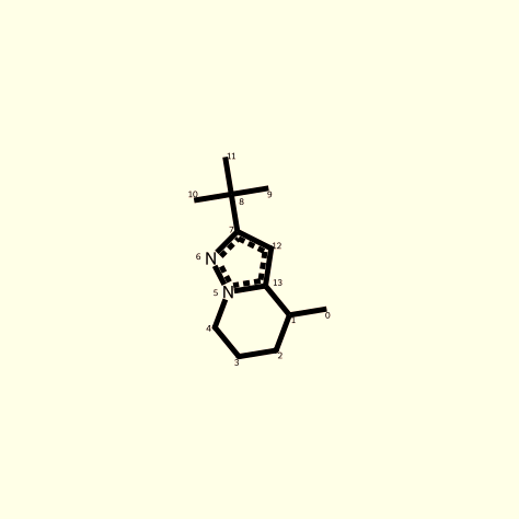 CC1CCCn2nc(C(C)(C)C)cc21